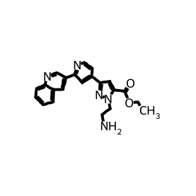 CCOC(=O)c1cc(-c2ccnc(-c3cnc4ccccc4c3)c2)nn1CCN